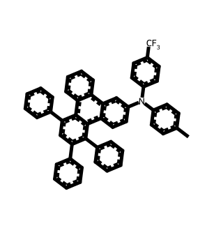 Cc1ccc(N(c2ccc(C(F)(F)F)cc2)c2ccc3c(c2)c2ccccc2c2c(-c4ccccc4)cc(-c4ccccc4)c(-c4ccccc4)c32)cc1